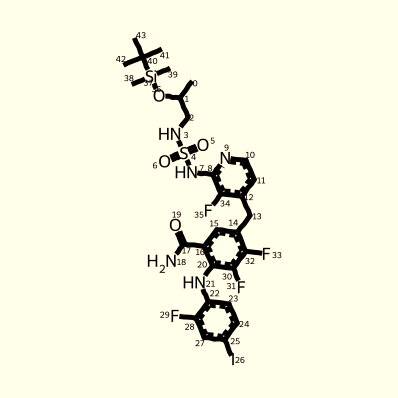 CC(CNS(=O)(=O)Nc1nccc(Cc2cc(C(N)=O)c(Nc3ccc(I)cc3F)c(F)c2F)c1F)O[Si](C)(C)C(C)(C)C